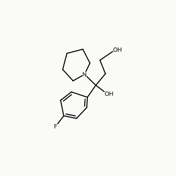 OCCC(O)(c1ccc(F)cc1)N1CCCCC1